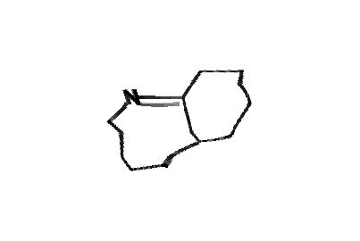 C1CCC2CCCN=C2C1